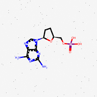 Nc1nc(N)c2ncn([C@H]3CC[C@@H](COP(=O)(O)O)O3)c2n1